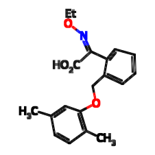 CCO/N=C(\C(=O)O)c1ccccc1COc1cc(C)ccc1C